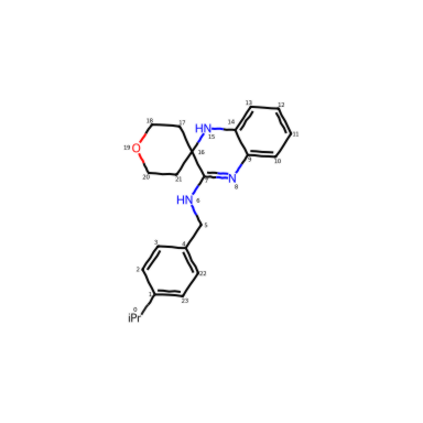 CC(C)c1ccc(CNC2=Nc3ccccc3NC23CCOCC3)cc1